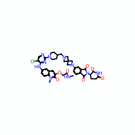 CNC(=O)COc1cc2cc(Nc3nc(N4CCC(CN5CC6(C5)CN(c5ccc7c(c5)C(=O)N(C5CCC(=O)NC5=O)C7=O)C6)CC4)ncc3Cl)ccc2n(C)c1=O